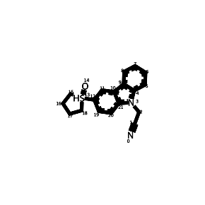 N#CCn1c2ccccc2c2cc([SH]3(=O)CCCC3)ccc21